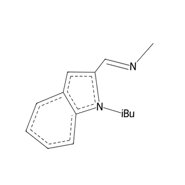 CCC(C)n1c(/C=N/C)cc2ccccc21